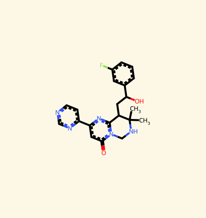 CC1(C)NCn2c(nc(-c3ccncn3)cc2=O)C1CC(O)c1cccc(F)c1